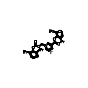 CC(C)c1cccc(C(C)C)c1OC(=O)OC[n+]1cccc(C(=O)Oc2c(C(C)C)cccc2C(C)C)c1.[I-]